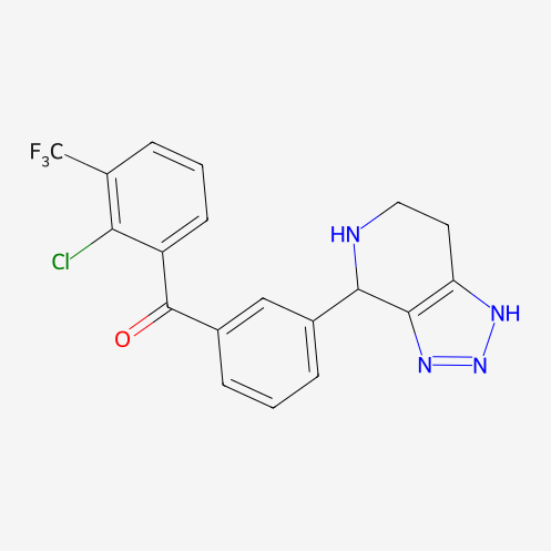 O=C(c1cccc(C2NCCc3[nH]nnc32)c1)c1cccc(C(F)(F)F)c1Cl